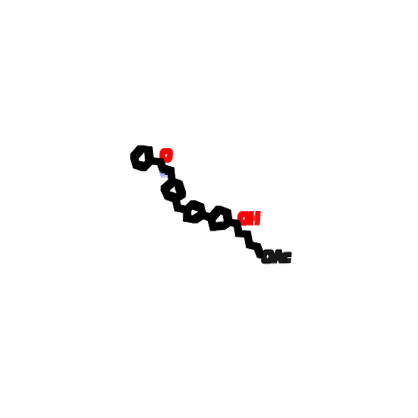 CC(=O)OCCCCCC(O)c1ccc(-c2ccc(Cc3ccc(/C=C/C(=O)c4ccccc4)cc3)cc2)cc1